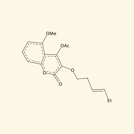 CCC=CCCOc1c(OC(C)=O)c2c(OC)cccc2oc1=O